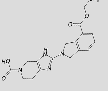 CCOC(=O)c1cccc2c1CN(c1nc3c([nH]1)CN(C(=O)O)CC3)C2